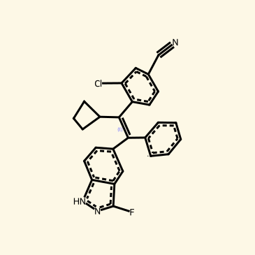 N#Cc1ccc(/C(=C(\c2[c]cccc2)c2ccc3[nH]nc(F)c3c2)C2CCC2)c(Cl)c1